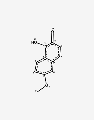 COc1ccc2c(ccc(=O)n2O)c1